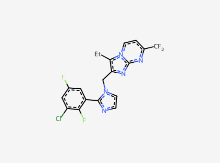 CCc1c(Cn2ccnc2-c2cc(F)cc(Cl)c2F)nc2nc(C(F)(F)F)ccn12